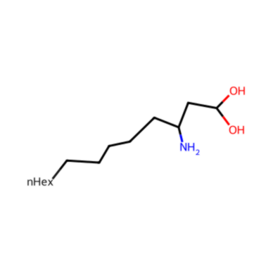 CCCCCCCCCCCC(N)CC(O)O